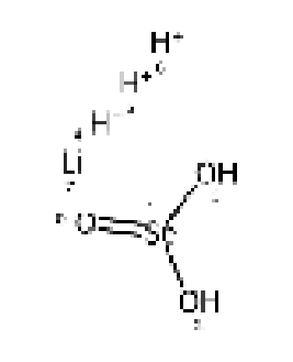 O=[Se](O)O.[H+].[H+].[H+].[Li+]